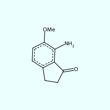 COc1ccc2c(c1N)C(=O)CC2